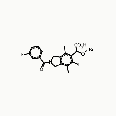 Cc1c(I)c(C(OC(C)(C)C)C(=O)O)c(C)c2c1CN(C(=O)c1cccc(F)c1)C2